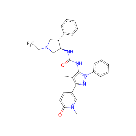 Cc1c(-c2ccc(=O)n(C)c2)nn(-c2ccccc2)c1NC(=O)N[C@H]1CN(CC(F)(F)F)C[C@@H]1c1ccccc1